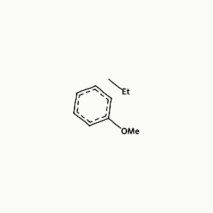 CCC.COc1ccccc1